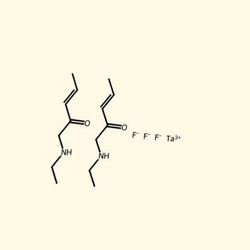 CC=CC(=O)CNCC.CC=CC(=O)CNCC.[F-].[F-].[F-].[Ta+3]